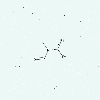 CCC(CC)N(C)C=S